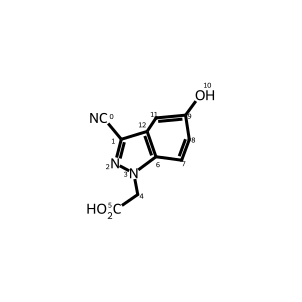 N#Cc1nn(CC(=O)O)c2ccc(O)cc12